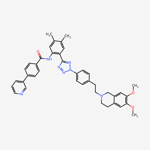 COc1cc2c(cc1OC)CN(CCc1ccc(-n3nnc(-c4cc(C)c(C)cc4NC(=O)c4ccc(-c5cccnc5)cc4)n3)cc1)CC2